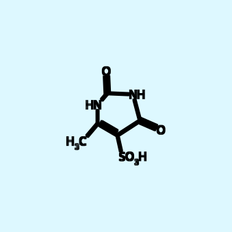 Cc1[nH]c(=O)[nH]c(=O)c1S(=O)(=O)O